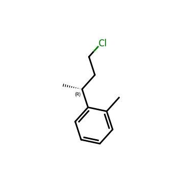 Cc1ccccc1[C@H](C)CCCl